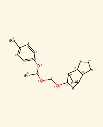 CCC(C)c1ccc(OC(OCOC2CC3CC2C2CCCC32)C(C)C)cc1